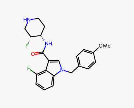 COc1ccc(Cn2cc(C(=O)N[C@H]3CCNC[C@H]3F)c3c(F)cccc32)cc1